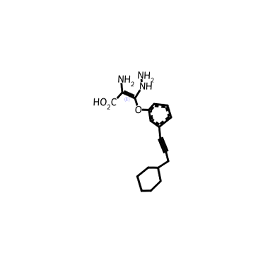 NN/C(Oc1cccc(C#CCC2CCCCC2)c1)=C(\N)C(=O)O